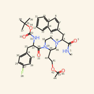 CNC(=O)C(Cc1ccc2ccccc2c1)N1CCN(C(=O)C(Cc2ccc(F)cc2)NC(=O)OC(C)(C)C)C(CCOC(C)=O)C1